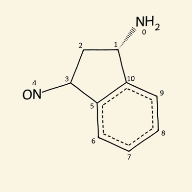 N[C@H]1CC(N=O)c2ccccc21